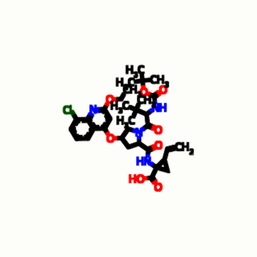 C=CC1CC1(NC(=O)C1CC(Oc2cc(OCC)nc3c(Cl)cccc23)CN1C(=O)C(NC(=O)OC(C)(C)C)C(C)(C)C)C(=O)O